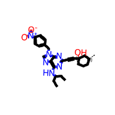 CCC(CC)Nc1nc(C#C[C@]2(O)CCC[C@@H](C)C2)nc2c1ncn2Cc1ccc([N+](=O)[O-])cc1